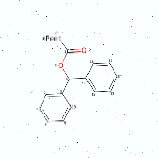 CCCCCC(=O)OC(c1ccccc1)c1ccccc1